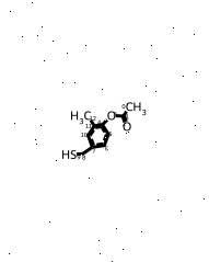 CC(=O)Oc1ccc(CS)cc1C